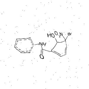 O=C(Nc1ccccc1)C1=CC=CC(Br)([N+](=O)[O-])C1O